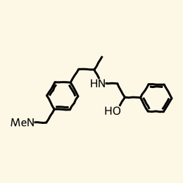 CNCc1ccc(CC(C)NCC(O)c2ccccc2)cc1